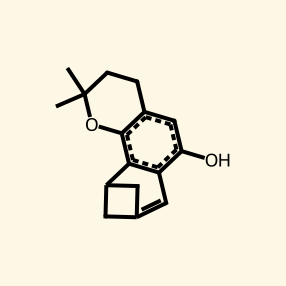 CC1(C)CCc2cc(O)c3c(c2O1)C1CC(=C3)C1